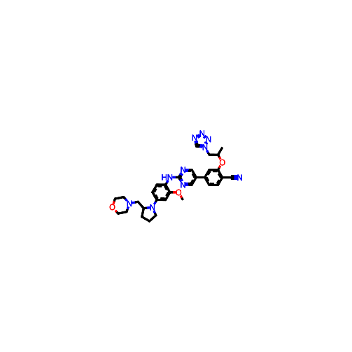 COc1cc(N2CCCC2CN2CCOCC2)ccc1Nc1ncc(-c2ccc(C#N)c(OC(C)Cn3cnnn3)c2)cn1